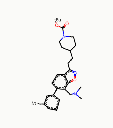 CN(C)Cc1c(-c2cccc(C#N)c2)ccc2c(CCC3CCN(C(=O)OC(C)(C)C)CC3)noc12